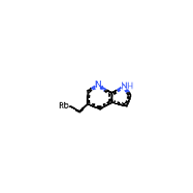 [Rb][CH2]c1cnc2[nH]ccc2c1